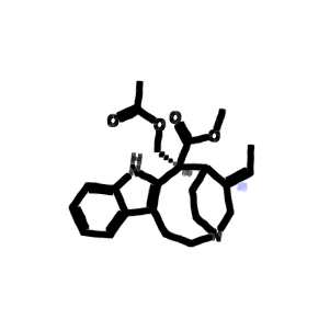 C/C=C1/CN2CCc3c([nH]c4ccccc34)[C@@](COC(C)=O)(C(=O)OC)C1CC2